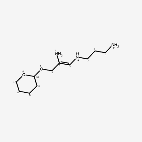 NCCCN/C=C(\N)COC1CCCCO1